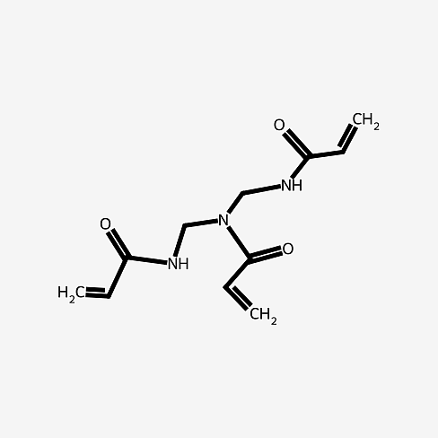 C=CC(=O)NCN(CNC(=O)C=C)C(=O)C=C